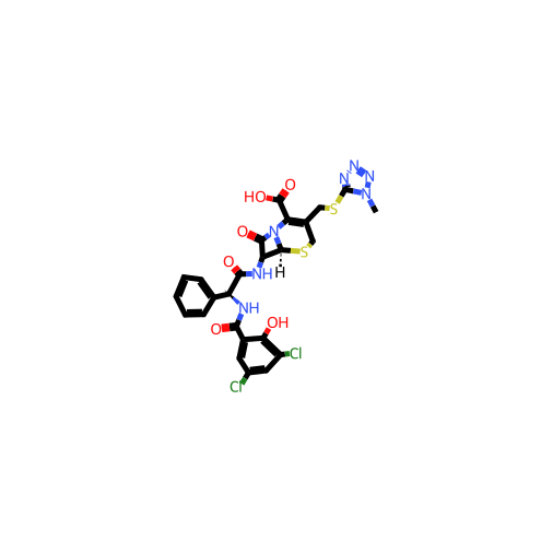 Cn1nnnc1SCC1=C(C(=O)O)N2C(=O)C(NC(=O)[C@@H](NC(=O)c3cc(Cl)cc(Cl)c3O)c3ccccc3)[C@@H]2SC1